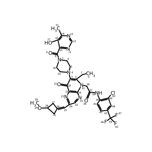 CCc1c(N2CCN(C(=O)c3ncnc(C)c3O)CC2)c(=O)c2nc(C=C3CC(OC)C3)cnc2n1CC(=O)Nc1ccc(C(F)(F)F)cc1Cl